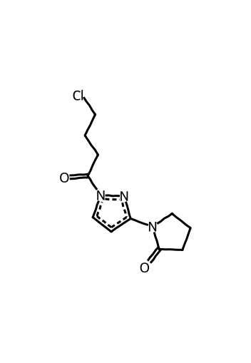 O=C1CCCN1c1ccn(C(=O)CCCCl)n1